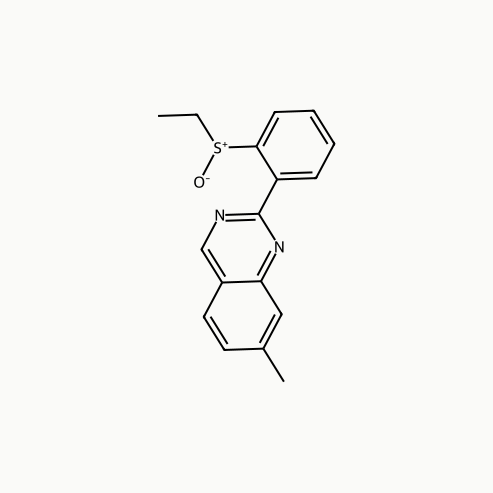 CC[S+]([O-])c1ccccc1-c1ncc2ccc(C)cc2n1